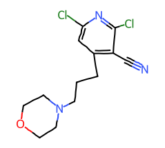 N#Cc1c(CCCN2CCOCC2)cc(Cl)nc1Cl